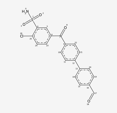 NS(=O)(=O)c1cc(C(=O)c2ccc(-c3ccc(C=O)cc3)cc2)ccc1Cl